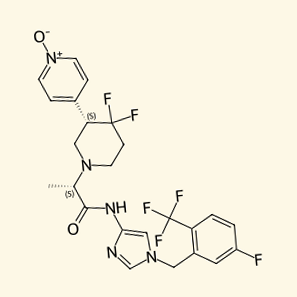 C[C@@H](C(=O)Nc1cn(Cc2cc(F)ccc2C(F)(F)F)cn1)N1CCC(F)(F)[C@@H](c2cc[n+]([O-])cc2)C1